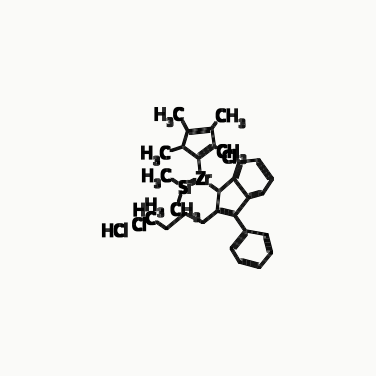 CCCCC1=C(c2ccccc2)c2cccc(Cl)c2[CH]1[Zr]([C]1=C(C)C(C)=C(C)C1C)=[Si](C)C.Cl.Cl